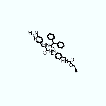 C#CCOC(=O)NCc1ccc(CNC(=O)C(Cc2ccc(N)nc2)NC(=O)C(c2ccccc2)c2ccccc2)cc1